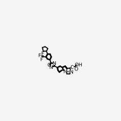 O=C(O)CC1NCCn2c1cc1cc(-c3noc(-c4ccc(C5CCCC5)c(C(F)(F)F)c4)n3)ccc12